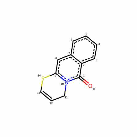 O=c1c2ccccc2cc2n1CC=CS2